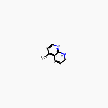 FC(F)(F)c1ccnc2c1C=CCN2